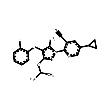 Cc1c(Oc2ccccc2F)c(OC(C)C)nn1-c1ncc(C2CC2)cc1C#N